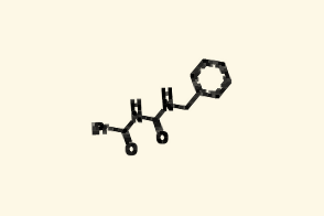 CC(C)C(=O)NC(=O)NCc1ccccc1